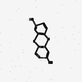 Oc1ccc2c(c1)Oc1ccc(O)cc1S2